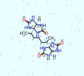 CC(CCCC(C)[C@]12NC(=O)N[C@H]1NC(=O)N2)[C@]12NC(=O)N[C@H]1NC(=O)N2